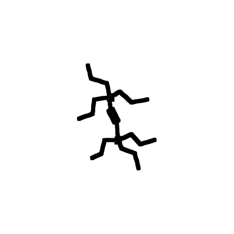 CCC[Si](C#C[Si](CCC)(CCC)CCC)(CCC)CCC